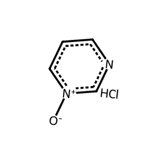 Cl.[O-][n+]1cccnc1